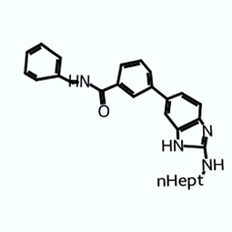 CCCCCCCNc1nc2ccc(-c3cccc(C(=O)NCc4ccccc4)c3)cc2[nH]1